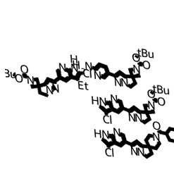 CC(C)(C)OC(=O)N1CC2(CCn3nc(-c4ccc(N)nc4)cc32)C1.CC(C)(C)OC(=O)N1CC2(CCn3nc(-c4cnc5[nH]cc(Cl)c5c4)cc32)C1.CCc1c(Cl)[nH]c2ncc(-c3cc4n(n3)CCC43CN(C(=O)OC(C)(C)C)C3)cc12.O=C(C1CCOCC1)N1CCC2(CC1)CCn1nc(-c3cnc4[nH]cc(Cl)c4c3)cc12